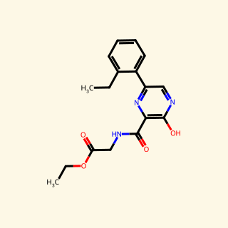 CCOC(=O)CNC(=O)c1nc(-c2ccccc2CC)cnc1O